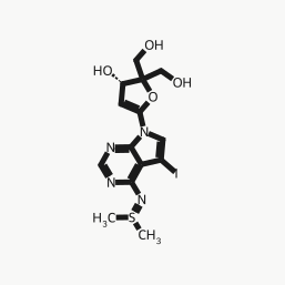 CS(C)=Nc1ncnc2c1c(I)cn2C1=C[C@H](O)C(CO)(CO)O1